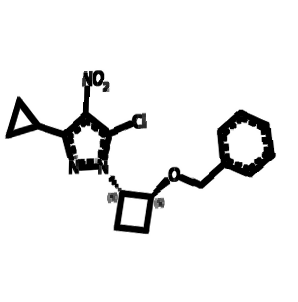 O=[N+]([O-])c1c(C2CC2)nn([C@H]2CC[C@@H]2OCc2ccccc2)c1Cl